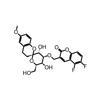 COc1ccc2c(c1)CC[C@]1(O2)O[C@H](CO)[C@H](O)[C@H](OCc2cc3c(F)c(F)ccc3oc2=O)[C@H]1O